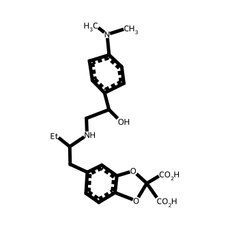 CCC(Cc1ccc2c(c1)OC(C(=O)O)(C(=O)O)O2)NCC(O)c1ccc(N(C)C)cc1